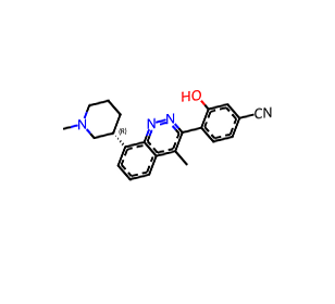 Cc1c(-c2ccc(C#N)cc2O)nnc2c([C@H]3CCCN(C)C3)cccc12